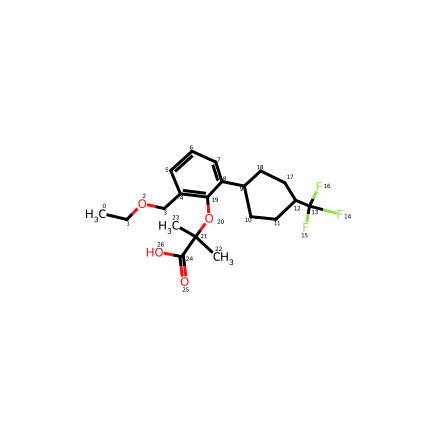 CCOCc1cccc(C2CCC(C(F)(F)F)CC2)c1OC(C)(C)C(=O)O